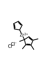 CC1=C[C](C)([Zr+2][CH]2C=CC=C2)C(C)=C1C.[Cl-].[Cl-]